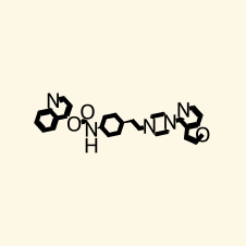 O=C(N[C@H]1CC[C@H](CCN2CCN(c3nccc4occc34)CC2)CC1)Oc1ccnc2ccccc12